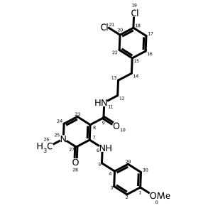 COc1ccc(CNc2c(C(=O)NCCCc3ccc(Cl)c(Cl)c3)ccn(C)c2=O)cc1